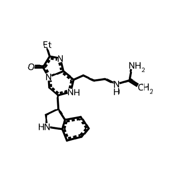 C=C(N)NCCCc1[nH]c(C2CNc3ccccc32)cn2c(=O)c(CC)nc1-2